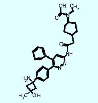 CCN(C(=O)O)C1CCC(CC(=O)Nc2cc(-c3ccccc3)c(-c3ccc([C@]4(N)C[C@](C)(O)C4)cc3)nn2)CC1